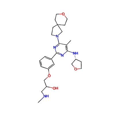 CNCC(O)COc1cccc(-c2nc(N[C@@H]3CCOC3)c(C)c(N3CCC4(CCOCC4)C3)n2)c1